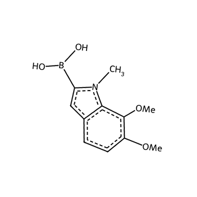 COc1ccc2cc(B(O)O)n(C)c2c1OC